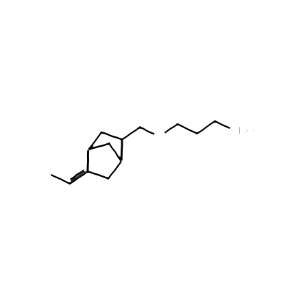 CC=C1CC2CC1CC2COCCCC=O